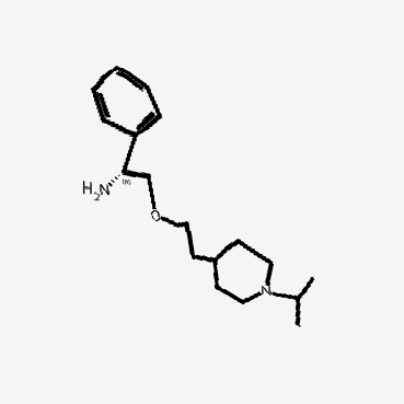 CC(C)N1CCC(CCOC[C@H](N)c2ccccc2)CC1